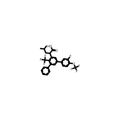 CC(C)CC(C(=O)O)c1cc(-c2ccc(OC(F)(F)F)c(F)c2)cc(-c2ccccc2)c1C(F)(F)F